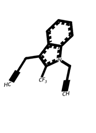 C#C[CH]c1c(C(F)(F)F)n(CC#C)c2ccccc12